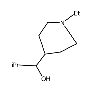 CCN1CCC(C(O)C(C)C)CC1